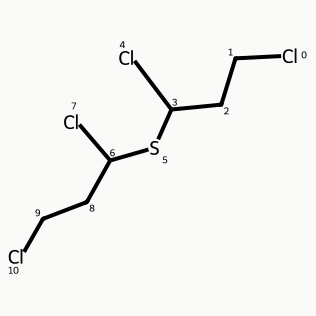 ClCCC(Cl)SC(Cl)CCCl